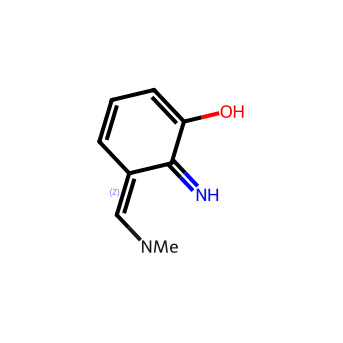 CN/C=C1/C=CC=C(O)C1=N